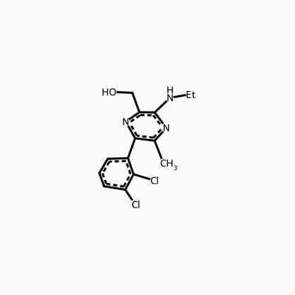 CCNc1nc(C)c(-c2cccc(Cl)c2Cl)nc1CO